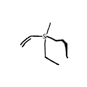 C=C[Si](C)(CC)CC